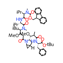 CCC(C)C(C(CC(=O)N1C2C[C@H]2C[C@H]1C(OC)C(C)C(=O)N[C@@H](Cc1ccccc1)C(=O)OC(C)(C)C)OC)N(C)C(=O)[C@@H](NC(=O)C(C(C)C)N(C)C(=O)OCC1c2ccccc2-c2ccccc21)C(C)C